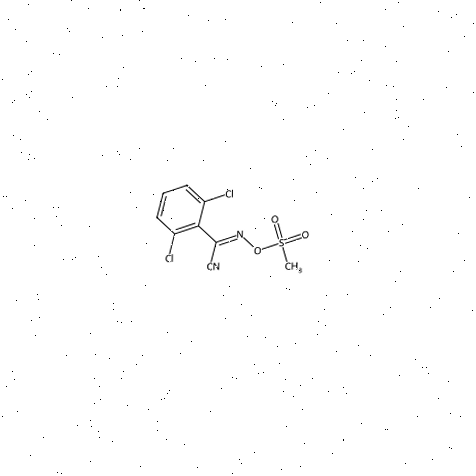 CS(=O)(=O)ON=C(C#N)c1c(Cl)cccc1Cl